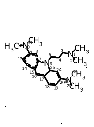 CN(C)CCCN1c2cc(N(C)C)ccc2C=C2C=CC(N(C)C)=CC21